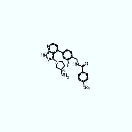 CC(C)(C)c1ccc(C(=O)NCc2ccc(-c3ccnc4[nH]nc(N5CC[C@@H](N)C5)c34)cc2F)cc1